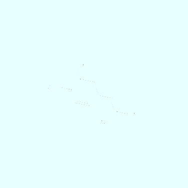 COC(C#N)=Cc1cc(Br)c(OC)c(OC)c1